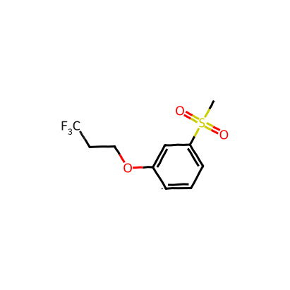 CS(=O)(=O)c1cc[c]c(OCCC(F)(F)F)c1